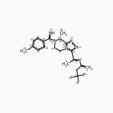 C=C(CC(F)(F)F)/N=C(\C)c1nnc2n1CCN(C(=N)c1ccc(C)cc1)[C@@H]2C